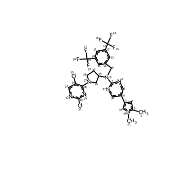 Cc1cc(-c2cnc(N(Cc3cc(C(F)(F)F)cc(C(F)(F)F)c3)C3CCN(c4nc(Cl)ncc4Cl)C3)nc2)cn1C